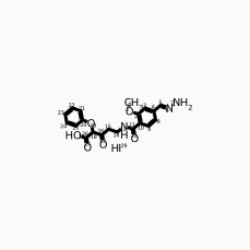 COc1cc(C=NN)ccc1C(=O)NCCC(=O)C(Oc1ccccc1)C(=O)O.I